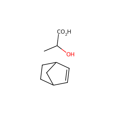 C1=CC2CCC1C2.CC(O)C(=O)O